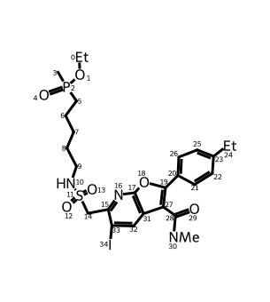 CCOP(C)(=O)CCCCCNS(=O)(=O)Cc1nc2oc(-c3ccc(CC)cc3)c(C(=O)NC)c2cc1I